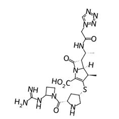 C[C@@H](NC(=O)Cn1cnnn1)[C@H]1C(=O)N2C(C(=O)O)=C(S[C@@H]3CN[C@H](C(=O)N4CCC4NC(=N)N)C3)[C@H](C)[C@H]12